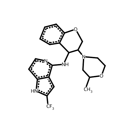 CC1CN(C2COc3ccccc3C2Nc2nccc3[nH]c(C(F)(F)F)cc23)CCO1